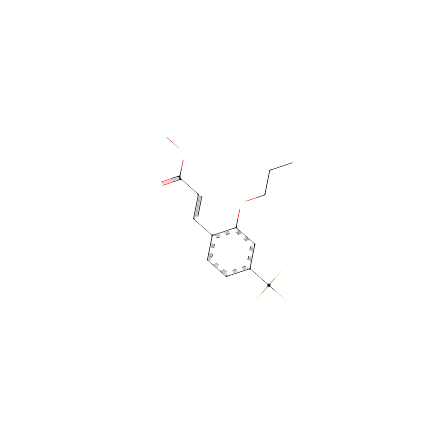 CCCOc1cc(C(F)(F)F)ccc1/C=C/C(=O)OC